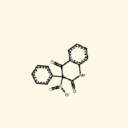 O=C1Nc2ccccc2C(=O)C1(c1ccccc1)[N+](=O)[O-]